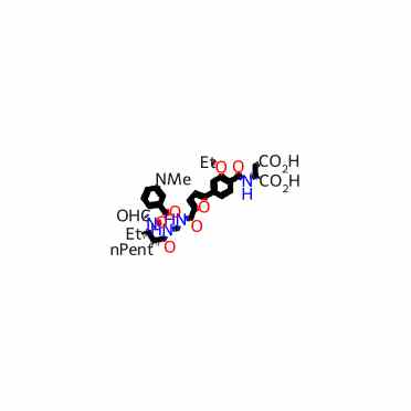 CCCCC[C@@H](C(=O)NCNC(=O)c1ccc(-c2ccc(C(=O)N[C@@H](CC(=O)O)C(=O)O)c(OCC)c2)o1)[C@@H](CC)N(C=O)OC(=O)c1cccc(NC)c1